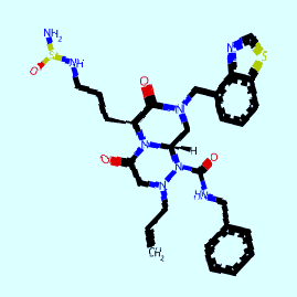 C=CCN1CC(=O)N2[C@@H](CCCN[S+](N)[O-])C(=O)N(Cc3cccc4scnc34)C[C@@H]2N1C(=O)NCc1ccccc1